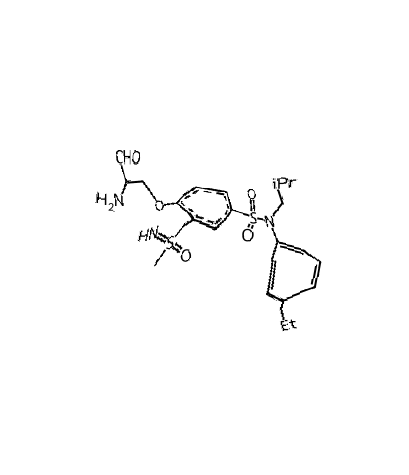 CCC1C=CC=C(N(CC(C)C)S(=O)(=O)c2ccc(OCC(N)C=O)c(S(C)(=N)=O)c2)C=C1